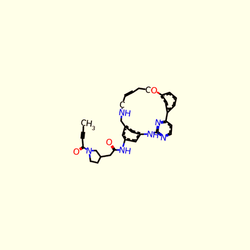 CC#CC(=O)N1CCC(CC(=O)Nc2cc3cc(c2)Nc2nccc(n2)-c2cccc(c2)OCC/C=C/CNC3)C1